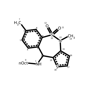 CCCCCCCCNC1c2ccc(C)cc2S(=O)(=O)N(C)c2ccsc21